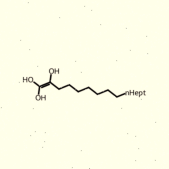 CCCCCCCCCCCCCCC(O)=C(O)O